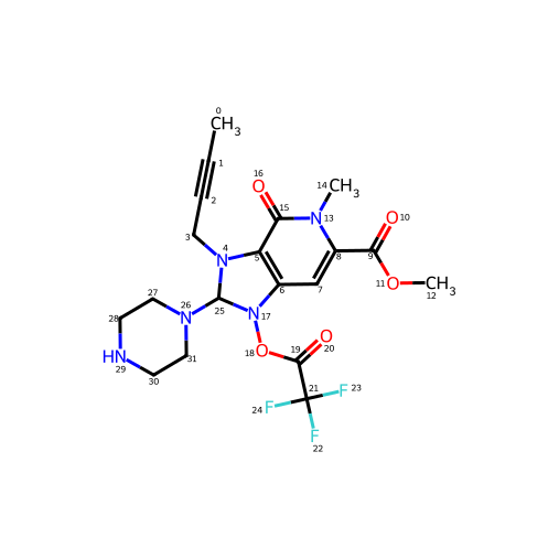 CC#CCN1c2c(cc(C(=O)OC)n(C)c2=O)N(OC(=O)C(F)(F)F)C1N1CCNCC1